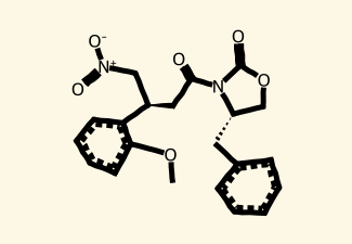 COc1ccccc1[C@H](CC(=O)N1C(=O)OC[C@@H]1Cc1ccccc1)C[N+](=O)[O-]